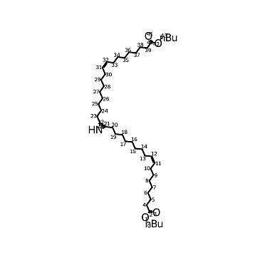 CCCCOC(=O)CCCCCCC/C=C\CCCCCCCCC1=C(CCCCCCCC/C=C\CCCCCCCC(=O)OCCCC)N1